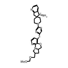 COCOCC1CC2COc3c(Sc4cnc(N5CCC6(CC5)Cc5ncccc5[C@H]6N)cn4)ccnc3N2C1